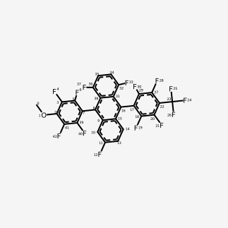 COc1c(F)c(F)c(-c2c3cc(F)ccc3c(-c3c(F)c(F)c(C(F)(F)F)c(F)c3F)c3c(F)ccc(F)c23)c(F)c1F